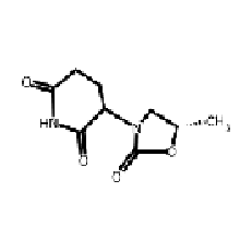 C[C@H]1CN(C2CCC(=O)NC2=O)C(=O)O1